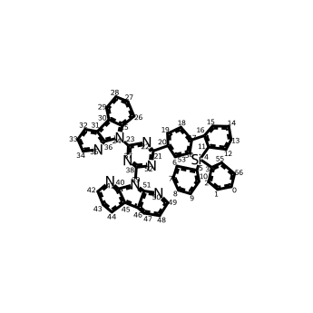 c1ccc([Si]2(c3ccccc3)c3ccccc3-c3ccc(-c4nc(-n5c6ccccc6c6cccnc65)nc(-n5c6ncccc6c6cccnc65)n4)cc32)cc1